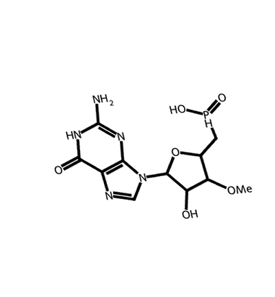 COC1C(C[PH](=O)O)OC(n2cnc3c(=O)[nH]c(N)nc32)C1O